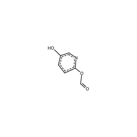 O=COc1ccc(O)cn1